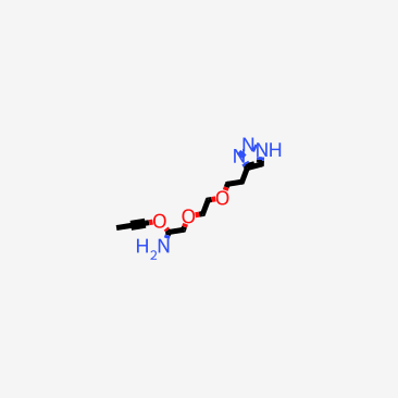 CC#COC(N)COCCOCCc1c[nH]nn1